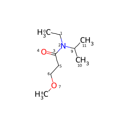 CCN(C(=O)CCOC)C(C)C